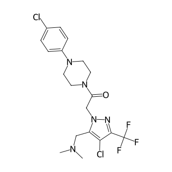 CN(C)Cc1c(Cl)c(C(F)(F)F)nn1CC(=O)N1CCN(c2ccc(Cl)cc2)CC1